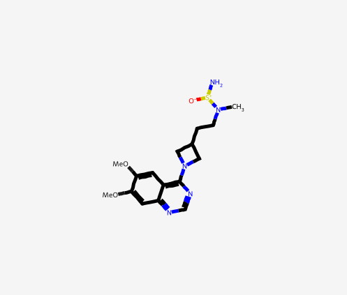 COc1cc2ncnc(N3CC(CCN(C)[S+](N)[O-])C3)c2cc1OC